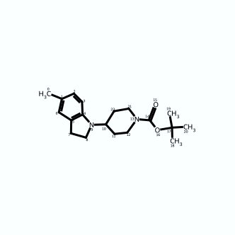 Cc1ccc2c(c1)CCN2C1CCN(C(=O)OC(C)(C)C)CC1